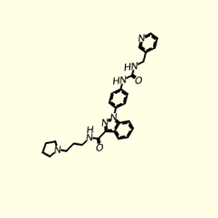 O=C(NCc1cccnc1)Nc1ccc(-n2nc(C(=O)NCCCN3CCCC3)c3ccccc32)cc1